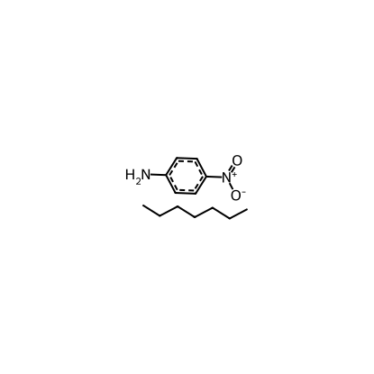 CCCCCCC.Nc1ccc([N+](=O)[O-])cc1